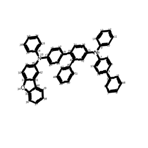 c1ccc(-c2ccc(N(c3ccccc3)c3ccc(-c4ccc(N(c5ccccc5)c5ccc6oc7ccccc7c6c5)cc4)c(-c4ccccc4)c3)cc2)cc1